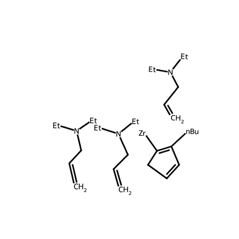 C=CCN(CC)CC.C=CCN(CC)CC.C=CCN(CC)CC.CCCCC1=[C]([Zr])CC=C1